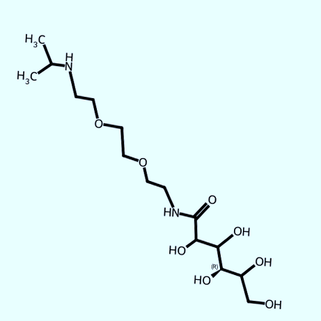 CC(C)NCCOCCOCCNC(=O)C(O)C(O)[C@H](O)C(O)CO